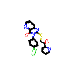 O=C(CSc1nc2cccnc2c(=O)n1-c1ccc(Cl)cc1)c1ccccn1